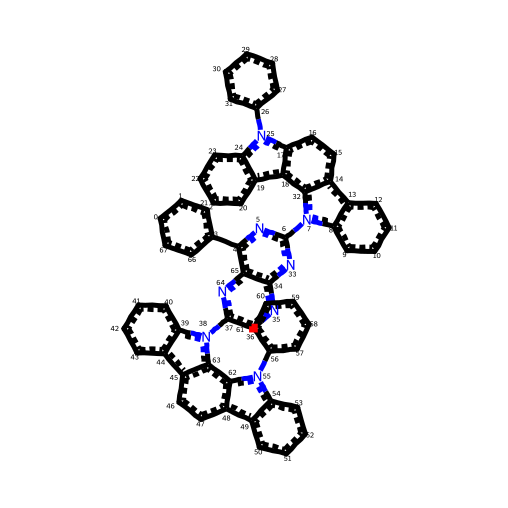 c1ccc(-c2nc(-n3c4ccccc4c4ccc5c(c6ccccc6n5-c5ccccc5)c43)nc3ncc(-n4c5ccccc5c5ccc6c7ccccc7n(-c7ccccc7)c6c54)nc23)cc1